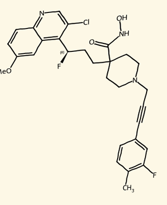 COc1ccc2ncc(Cl)c([C@H](F)CCC3(C(=O)NO)CCN(CC#Cc4ccc(C)c(F)c4)CC3)c2c1